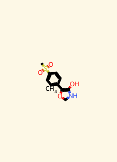 C.CS(=O)(=O)c1ccc(C2=C(O)NCO2)cc1